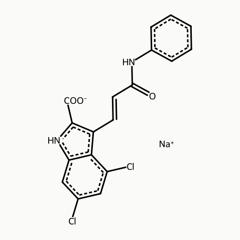 O=C(/C=C/c1c(C(=O)[O-])[nH]c2cc(Cl)cc(Cl)c12)Nc1ccccc1.[Na+]